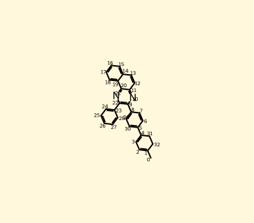 CC1=CC=C(c2ccc(-c3nc4ccc5ccccc5c4nc3-c3ccccc3)cc2)CC1